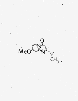 COc1ccn2c(=O)cc(C3CC3C)nc2c1